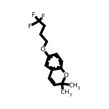 CC1(C)C=Cc2cc(OCCCC(F)(F)F)ccc2O1